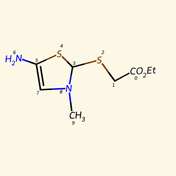 CCOC(=O)CSC1SC(N)=CN1C